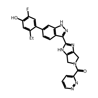 CCc1cc(O)c(F)cc1-c1ccc2c(-c3nc4c([nH]3)CN(C(=O)c3cccnn3)C4)n[nH]c2c1